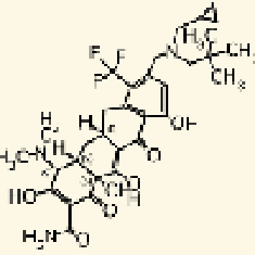 CN(C)[C@@H]1C(O)=C(C(N)=O)C(=O)[C@@]2(O)C(O)=C3C(=O)c4c(O)cc(CN(CC5CC5)CC(C)(C)C)c(C(F)(F)F)c4C[C@H]3C[C@@H]12